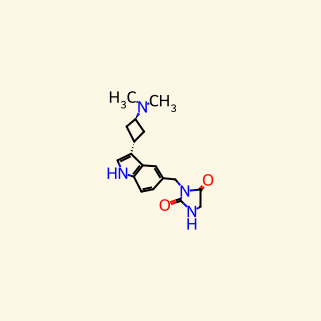 CN(C)[C@H]1C[C@H](c2c[nH]c3ccc(CN4C(=O)CNC4=O)cc32)C1